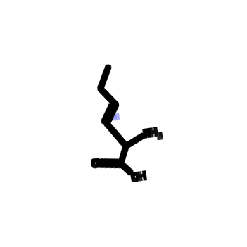 CC/C=C/C(N)C(=O)O